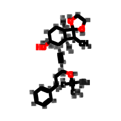 CC1[C@H]2[C@H](C#C[C@@H](CCc3ccccc3)O[Si](C)(C)C(C)(C)C)[C@@H](O)CC[C@H]2C12OCCO2